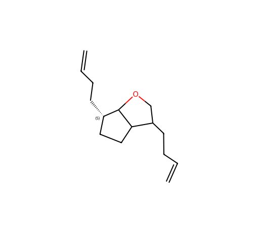 C=CCCC1COC2C1CC[C@@H]2CCC=C